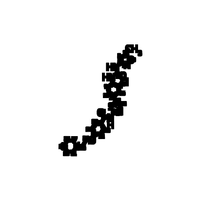 Cc1cc(NC(=O)Nc2ccc(-c3cnc(NC(=O)c4ccc(OCCN5CCOCC5)cc4)s3)cc2Cl)no1